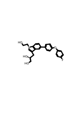 OCCn1cc(C[C@H](O)CO)c2cc(-c3ccc(Oc4ccc(F)cc4)cc3)ccc21